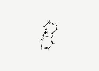 c1ccccc1.c1cnccn1